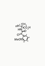 CCCC(C)(NC(=O)C(Cl)c1ccccc1OC)C(=O)O